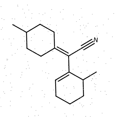 CC1CCC(=C(C#N)C2=CCCCC2C)CC1